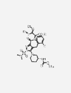 CCOC(=O)C(NC(=O)c1nn(S(=O)(=O)N(C)C)c(N2CCC[C@@H](NC(=O)OC(C)(C)C)C2)c1Cc1ccccc1Cl)C(OCC)OCC